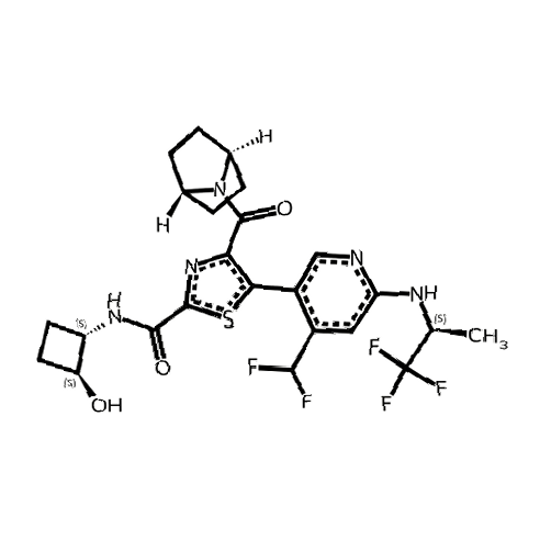 C[C@H](Nc1cc(C(F)F)c(-c2sc(C(=O)N[C@H]3CC[C@@H]3O)nc2C(=O)N2[C@H]3CC[C@H]2CC3)cn1)C(F)(F)F